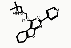 CC1(C)C[C@@H](CNc2nc(-c3ccncc3)nc3sc4c(c23)CCCC4)N1